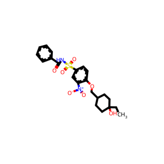 CCC1(O)CCC(COc2ccc(S(=O)(=O)NC(=O)c3ccccc3)cc2[N+](=O)[O-])CC1